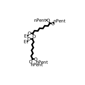 CCCCCOC(CCCCCCC(OCC)OC(CCCCCCC(OCCCCC)OCCCCC)OCC)OCCCCC